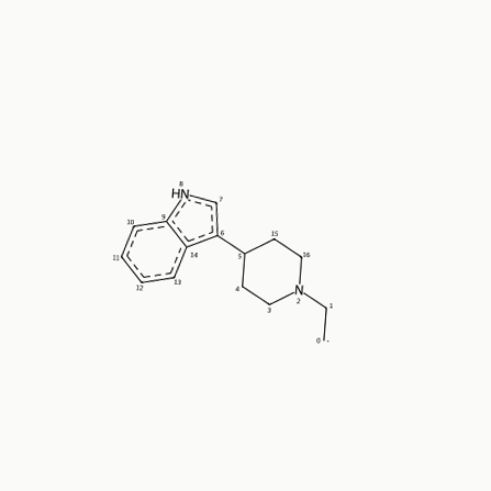 [CH2]CN1CCC(c2c[nH]c3ccccc23)CC1